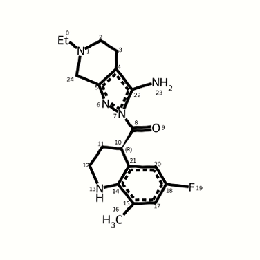 CCN1CCc2c(nn(C(=O)[C@@H]3CCNc4c(C)cc(F)cc43)c2N)C1